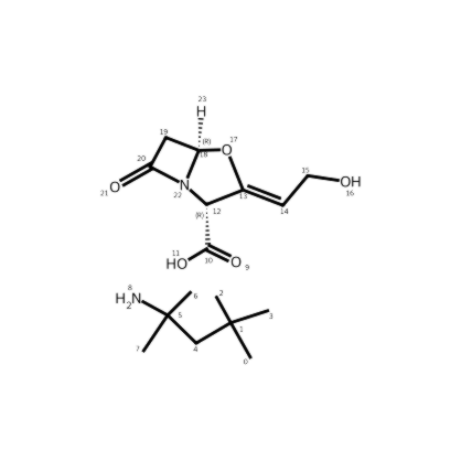 CC(C)(C)CC(C)(C)N.O=C(O)[C@H]1C(=CCO)O[C@@H]2CC(=O)N12